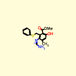 COC(=O)c1c(O)cc(C)c(/N=C\N)c1CSc1ccccc1